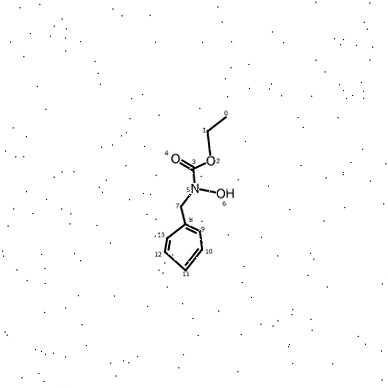 CCOC(=O)N(O)Cc1ccccc1